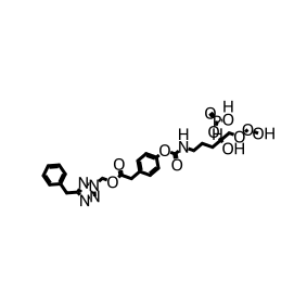 O=C(Cc1ccc(OC(=O)NCCCC(O)(COOO)O[PH](=O)O)cc1)OCn1nnc(Cc2ccccc2)n1